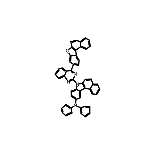 c1ccc(N(c2ccccc2)c2ccc3c(c2)c2c4ccccc4ccc2n3-c2nc(-c3ccc4c(c3)oc3ccc5ccccc5c34)c3ccccc3n2)cc1